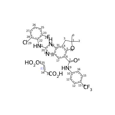 CC1(C)Cc2c(c(C(=O)Nc3ccc(C(F)(F)F)cc3)cc3nc(Nc4c(F)cccc4Cl)[nH]c23)O1.O=C(O)/C=C/C(=O)O